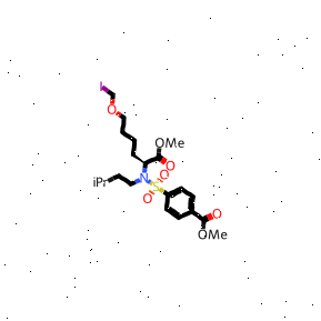 COC(=O)c1ccc(S(=O)(=O)N(CCC(C)C)[C@@H](CCCCOCI)C(=O)OC)cc1